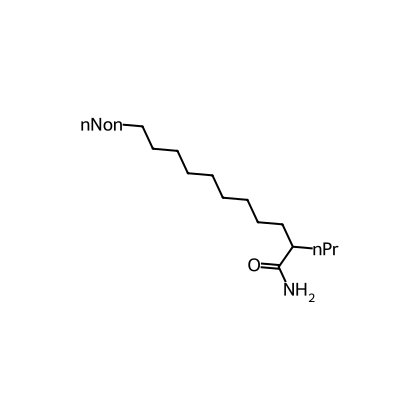 CCCCCCCCCCCCCCCCCCC(CCC)C(N)=O